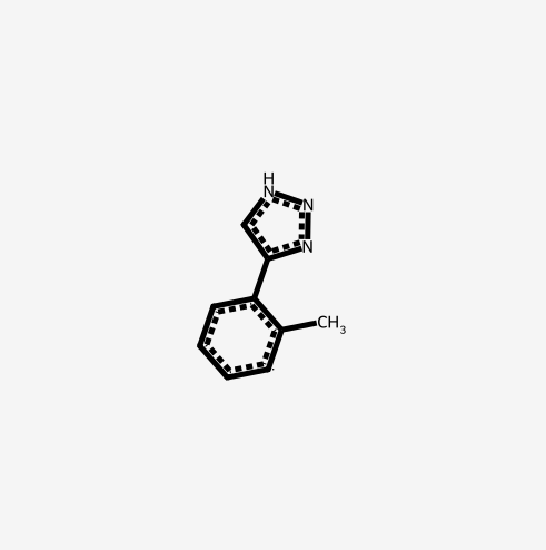 Cc1[c]cccc1-c1c[nH]nn1